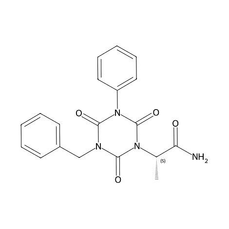 C[C@@H](C(N)=O)n1c(=O)n(Cc2ccccc2)c(=O)n(-c2ccccc2)c1=O